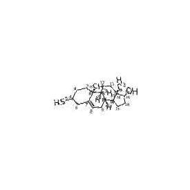 C[C@]12CCC(S)CC1=CC[C@@H]1[C@H]2CC[C@]2(C)C(O)CC[C@@H]12